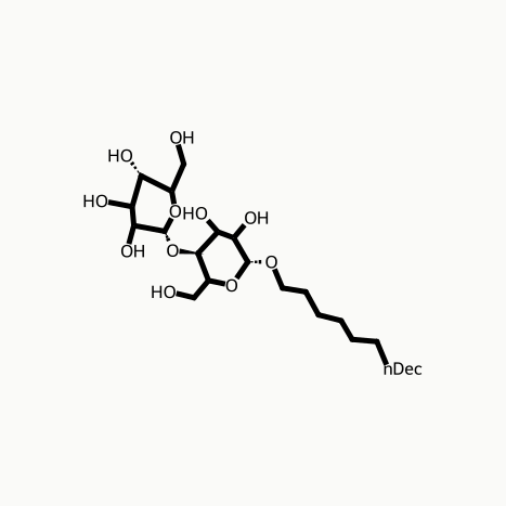 CCCCCCCCCCCCCCCCO[C@@H]1OC(CO)[C@@H](O[C@H]2OC(CO)[C@@H](O)C(O)C2O)C(O)C1O